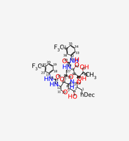 CCCCCCCCCCCCC(=O)N[C@H]1C(CO)OCC(NC(=O)Nc2cccc(C(F)(F)F)c2)C1O[C@@H](CNC(=O)Nc1cccc(C(F)(F)F)c1)OC(CO)[C@@H](O)C(C)O